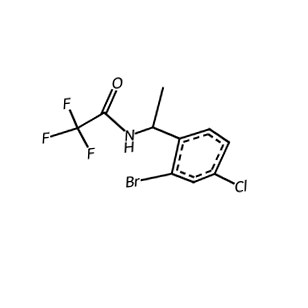 CC(NC(=O)C(F)(F)F)c1ccc(Cl)cc1Br